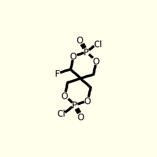 O=P1(Cl)OCC2(CO1)COP(=O)(Cl)OC2F